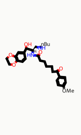 CCCCNC[C@@H](NC(=O)CCCCCC(=O)c1ccc(OC)cc1)C(O)c1ccc2c(c1)OCCO2